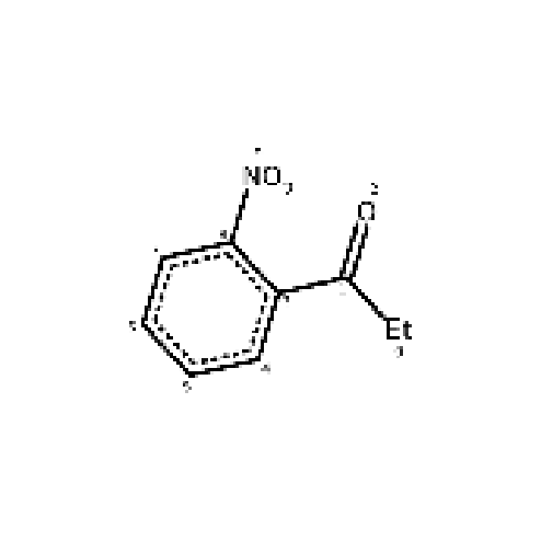 CCC(=O)c1ccccc1[N+](=O)[O-]